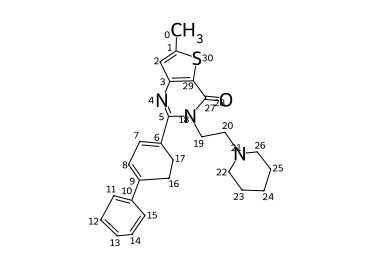 Cc1cc2nc(C3=CC=C(c4ccccc4)CC3)n(CCN3CCCCC3)c(=O)c2s1